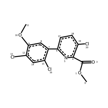 COC(=O)c1nc(-c2cc(OC)c(Cl)cc2Cl)ccc1Cl